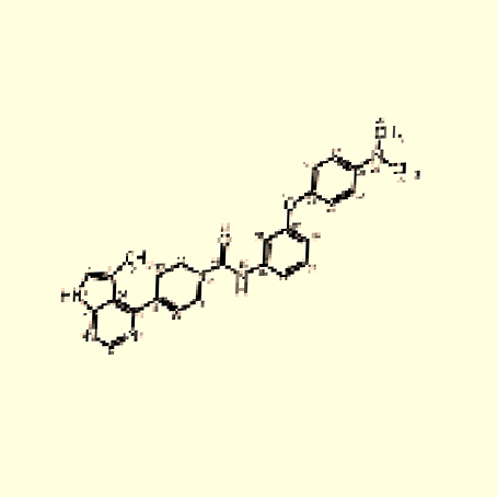 Cc1c[nH]c2ncnc(C3=CCN(C(=O)Nc4cccc(Oc5ccc(N(C)C)cc5)c4)CC3)c12